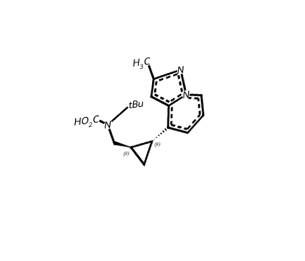 Cc1cc2c([C@@H]3C[C@H]3CN(C(=O)O)C(C)(C)C)cccn2n1